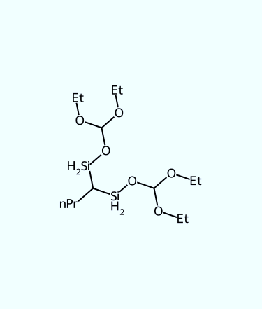 CCCC([SiH2]OC(OCC)OCC)[SiH2]OC(OCC)OCC